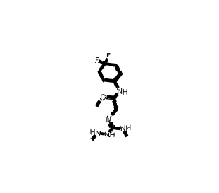 CNN/C(=N/CC(NC1CCC(F)(F)CC1)OC)NC